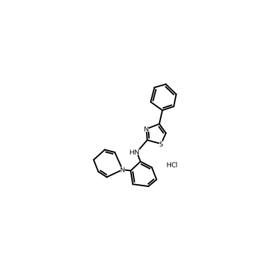 C1=CN(c2ccccc2Nc2nc(-c3ccccc3)cs2)C=CC1.Cl